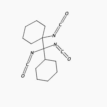 O=C=NC1(C(N=C=O)(N=C=O)C2CCCCC2)CCCCC1